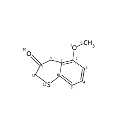 COc1cccc2c1CC(=O)CS2